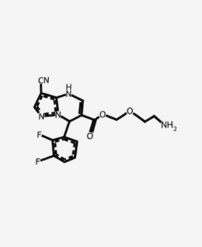 N#Cc1cnn2c1NC=C(C(=O)OCOCCN)C2c1cccc(F)c1F